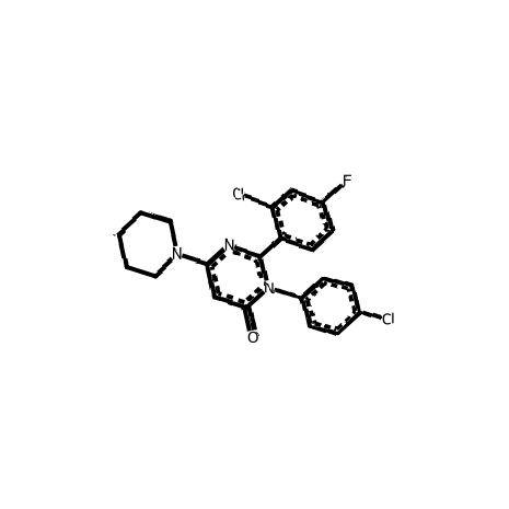 O=c1cc(N2CC[CH]CC2)nc(-c2ccc(F)cc2Cl)n1-c1ccc(Cl)cc1